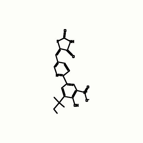 CCC(C)(C)c1cc(-c2ccc(C=C3SC(=O)NC3=O)cn2)cc([N+](=O)[O-])c1O